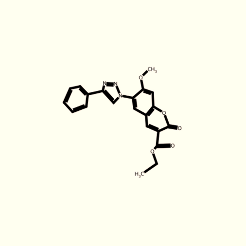 CCOC(=O)c1cc2cc(-n3cc(-c4ccccc4)nn3)c(OC)cc2oc1=O